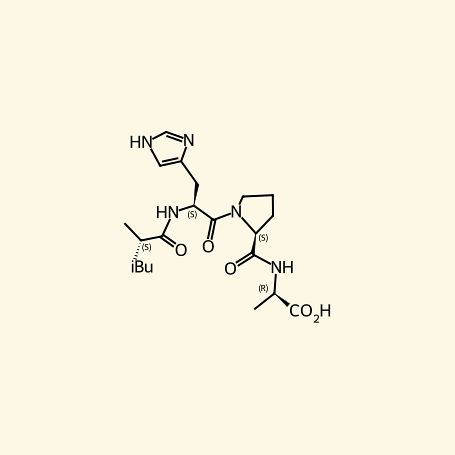 CCC(C)[C@H](C)C(=O)N[C@@H](Cc1c[nH]cn1)C(=O)N1CCC[C@H]1C(=O)N[C@H](C)C(=O)O